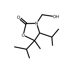 CC(C)C1N(CO)C(=O)OC1(C)C(C)C